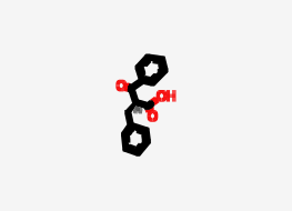 O=C(O)[C@@H](Cc1ccccc1)C(=O)c1ccccc1